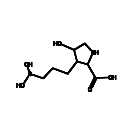 O=C(O)C1NCC(O)C1CCCB(O)O